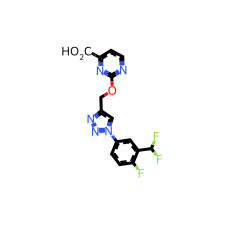 O=C(O)c1ccnc(OCc2cn(-c3ccc(F)c(C(F)F)c3)nn2)n1